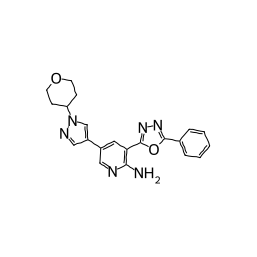 Nc1ncc(-c2cnn(C3CCOCC3)c2)cc1-c1nnc(-c2ccccc2)o1